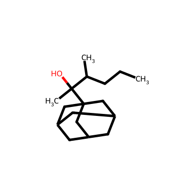 CCCC(C)C(C)(O)C12CC3CC(CC(C3)C1)C2